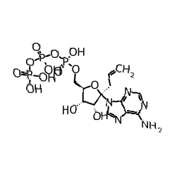 C=CC[C@@]1(n2cnc3c(N)ncnc32)O[C@H](COP(=O)(O)OP(=O)(O)OP(=O)(O)O)[C@@H](O)[C@H]1O